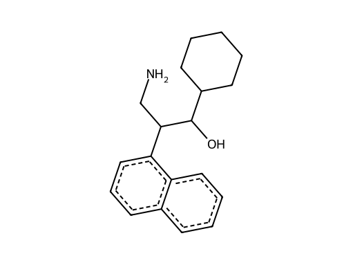 NCC(c1cccc2ccccc12)C(O)C1CCCCC1